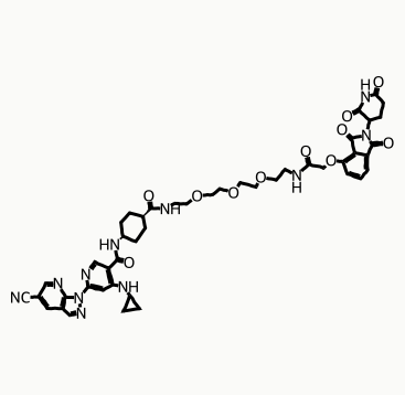 N#Cc1cnc2c(cnn2-c2cc(NC3CC3)c(C(=O)N[C@H]3CC[C@H](C(=O)NCCOCCOCCOCCNC(=O)COc4cccc5c4C(=O)N(C4CCC(=O)NC4=O)C5=O)CC3)cn2)c1